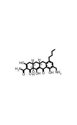 CCCCc1cc(CN)c(O)c2c1C[C@H]1C[C@H]3CC(O)=C(C(N)=O)C(=O)[C@@]3(O)C(O)=C1C2=O